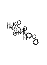 CC(C)(C)OC(=O)NC(CCC(N)=O)C(=O)Nc1ccc(Oc2ccccc2)cc1